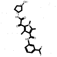 Cc1c(C(=O)Nc2cccc(C(F)F)c2)c(C)n(C)c1C(=O)C(=O)N[C@@H]1CC[C@@H](O)C1